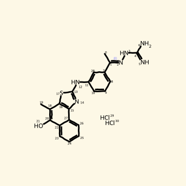 C/C(=N\NC(=N)N)c1cccc(Nc2nc3c(s2)c(C)c(O)c2ccccc23)c1.Cl.Cl